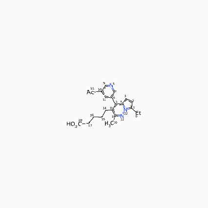 CCc1ccc2c(-c3cncc(C(C)=O)c3)c(CCCCC(=O)O)c(C)nn12